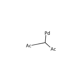 CC(=O)[CH]([Pd])C(C)=O